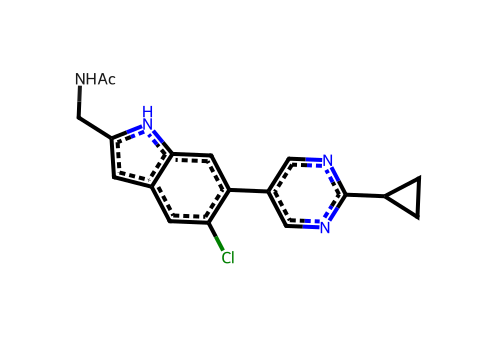 CC(=O)NCc1cc2cc(Cl)c(-c3cnc(C4CC4)nc3)cc2[nH]1